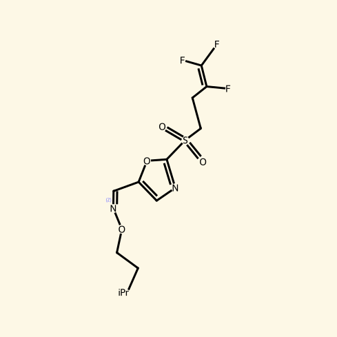 CC(C)CCO/N=C\c1cnc(S(=O)(=O)CCC(F)=C(F)F)o1